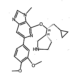 COc1ccc(-c2cc3ncn(C)c3c(O[C@H](CC3CC3)[C@@H]3CCNC3)n2)cc1OC